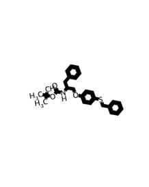 CC(C)(C)OC(=O)NC(COc1ccc(SCc2ccccc2)cc1)Cc1ccccc1